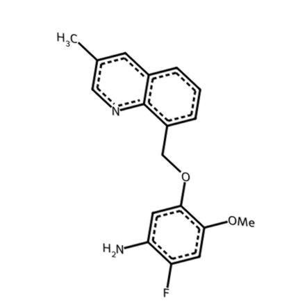 COc1cc(F)c(N)cc1OCc1cccc2cc(C)cnc12